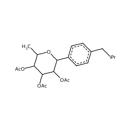 CC(=O)OC1C(C)OC(c2ccc(CC(C)C)cc2)C(OC(C)=O)C1OC(C)=O